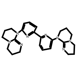 c1cc(-c2cccc(N3CCCN4CCCN=C43)n2)nc(N2CCCN3CCCN=C32)c1